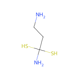 NCCC(N)(S)S